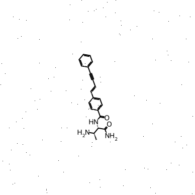 C[C@@H](N)[C@H](NC(=O)c1ccc(/C=C/C#Cc2ccccc2)cc1)C(N)=O